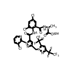 COC(=O)N(C)NC(=O)c1cc(Cl)cc(Cl)c1NC(=O)c1cc(Cn2nc(C(F)(F)C(F)(F)F)cc2C(F)(F)C(F)(F)F)nn1-c1ncccc1Cl